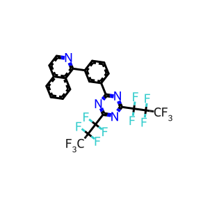 FC(F)(F)C(F)(F)C(F)(F)c1nc(-c2cccc(-c3nccc4ccccc34)c2)nc(C(F)(F)C(F)(F)C(F)(F)F)n1